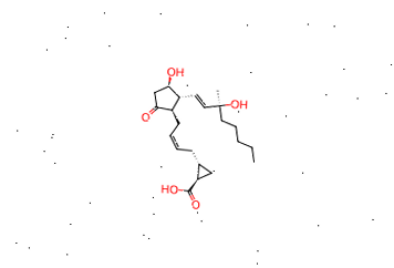 CCCCC[C@](C)(O)/C=C/[C@H]1[C@H](O)CC(=O)[C@@H]1C/C=C\C[C@@H]1C[C@H]1C(=O)O